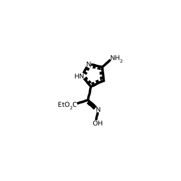 CCOC(=O)C(=NO)c1cc(N)n[nH]1